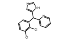 Clc1cccc(C(c2ccccn2)c2cnc[nH]2)c1Cl